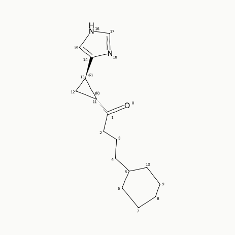 O=C(CCCC1CCCCC1)[C@@H]1C[C@H]1c1c[nH]cn1